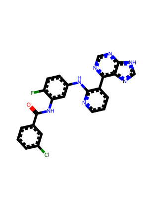 O=C(Nc1cc(Nc2ncccc2-c2ncnc3[nH]cnc23)ccc1F)c1cccc(Cl)c1